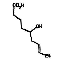 CC/C=C/CC(O)CCCC(=O)O